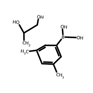 CC(O)CO.Cc1cc(C)cc(B(O)O)c1